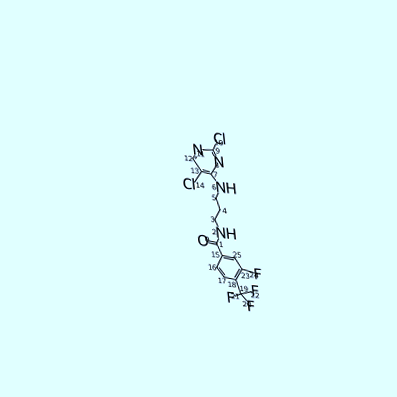 O=C(NCCCNc1nc(Cl)ncc1Cl)c1ccc(C(F)(F)F)c(F)c1